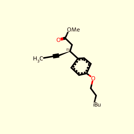 CC#C[C@@H](CC(=O)OC)c1ccc(OCCC(C)CC)cc1